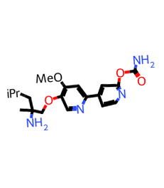 COc1cc(-c2ccnc(OC(N)=O)c2)ncc1OCC(C)(N)CC(C)C